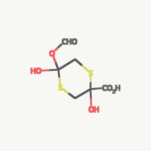 O=COC1(O)CSC(O)(C(=O)O)CS1